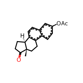 CC(=O)Oc1ccc2c3c(ccc2c1)[C@@H]1CCC(=O)[C@@]1(C)CC3